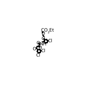 CCOC(=O)COCCOc1cc(Cl)ccc1CNC(=O)c1cc(=O)c2cc(Cl)cc(Cl)c2o1